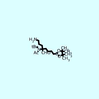 CC(=O)N(C(C)(C)C)C(C=O)(CCCN)CCCCB1OC(C)(C)C(C)(C)O1